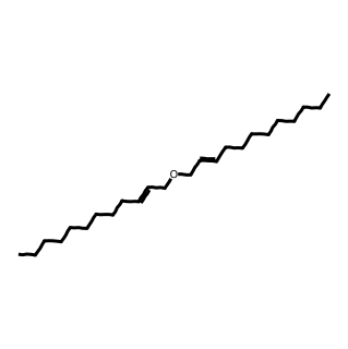 CCCCCCCCCC=CCOCC=CCCCCCCCCC